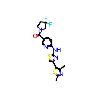 Cc1nc(C)c(-c2csc(Nc3ccc(C(=O)N4CCC(F)(F)C4)cn3)n2)s1